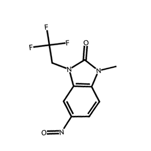 Cn1c(=O)n(CC(F)(F)F)c2cc(N=O)ccc21